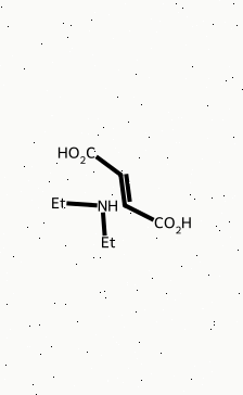 CCNCC.O=C(O)/C=C/C(=O)O